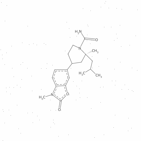 CC(C)C[C@@]1(C)CC(c2ccc3c(c2)oc(=O)n3C)CCN1C(N)=O